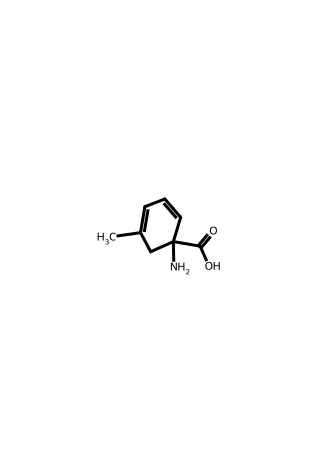 CC1=CC=CC(N)(C(=O)O)C1